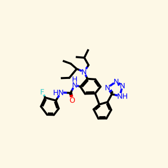 CCC(CC)N(CC(C)C)c1ccc(-c2ccccc2-c2nnn[nH]2)cc1NC(=O)Nc1ccccc1F